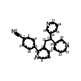 N#Cc1ccc(-c2ncccc2CC(c2cccnc2)c2cccnc2)cc1